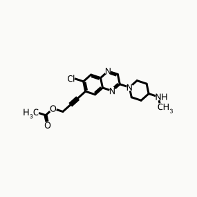 CNC1CCN(c2cnc3cc(Cl)c(C#CCOC(C)=O)cc3n2)CC1